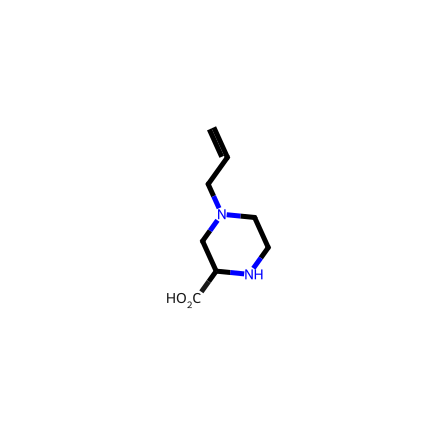 C=CCN1CCNC(C(=O)O)C1